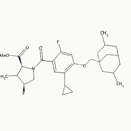 COC(=O)[C@@H]1C(C)[C@H](F)CN1C(=O)c1cc(C2CC2)c(OCC23CC(C)CC(CC(C)C2)C3)cc1F